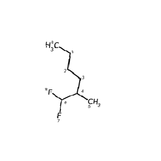 CCCCC(C)C(F)F